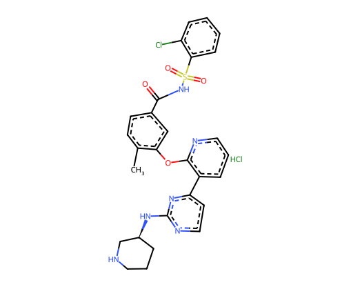 Cc1ccc(C(=O)NS(=O)(=O)c2ccccc2Cl)cc1Oc1ncccc1-c1ccnc(N[C@H]2CCCNC2)n1.Cl